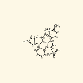 C=CC(=O)N1Cc2sc(Cl)cc2[C@H](c2ccccc2-c2cn(C3CCN(C)CC3)nc2C(F)(F)F)C1